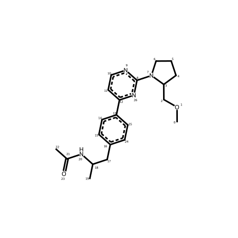 COCC1CCCN1c1nccc(-c2ccc(CC(C)NC(C)=O)cc2)n1